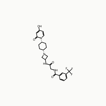 O=C(CNC(=O)c1cccc(C(F)(F)F)c1)NC1CN([C@H]2CC[C@@H](n3ccc(O)cc3=O)CC2)C1